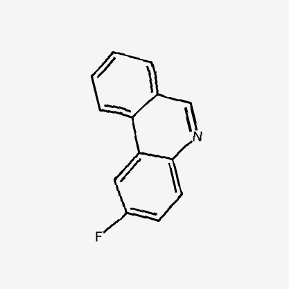 Fc1ccc2ncc3ccccc3c2c1